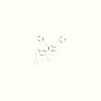 CCOC(=O)c1cn([C@@H](CO)C(C)C)c(-c2cc(Cl)c(OCc3ccccc3)cc2OCc2ccccc2)cc1=O